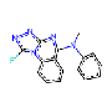 CN(c1ccccc1)c1nc2nnc(F)n2c2ccccc12